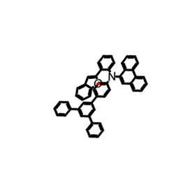 c1ccc(-c2cc(-c3ccccc3)cc(-c3ccc(N(c4ccccc4-c4cc5ccccc5o4)c4cc5ccccc5c5ccccc45)cc3)c2)cc1